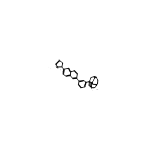 CCOC(=O)C1=CC(C#N)(C#N)C(c2ccc3cc(-c4ccc(OC)c(C56CC7CC(CC(C7)C5)C6)c4)ccc3c2)C1